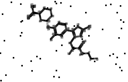 CCCOC(=O)N(C)Cc1cc(Cl)sc1-c1ccc(O[C@H]2CCC[C@H](C(=O)O)C2)c(C)n1